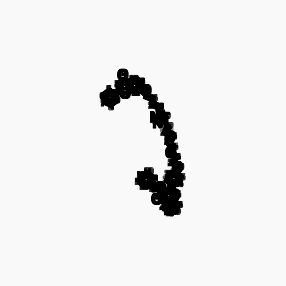 O=c1cc(-c2ccccc2)oc2cc(OCCCCc3cn(CCOCCOCCOc4ccc(-c5oc6ccccc6c(=O)c5OCc5ccccc5)cc4)nn3)ccc12